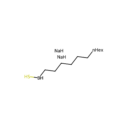 CCCCCCCCCCCCBS.[NaH].[NaH]